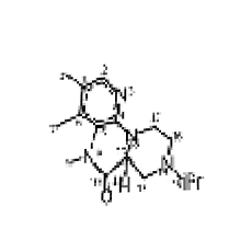 Cc1cnc2c(c1C)N(C)C(=O)[C@H]1CN(C(C)C)CCN21